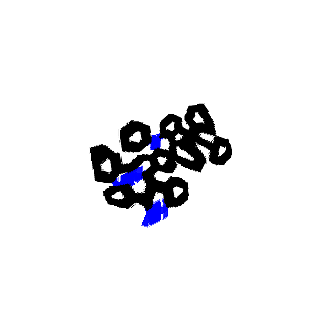 N=C(/C(=C1\NC(c2ccccc2)=Cc2c1cccc2N(c1ccccc1)c1cccc2c1-c1ccccc1C2(c1ccccc1)c1ccccc1)c1ccccc1)c1ccccc1